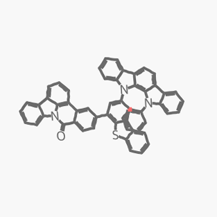 O=c1c2ccc(-c3cc(-n4c5ccccc5c5ccc6c7ccccc7n(-c7ccccc7)c6c54)cc4c3sc3ccccc34)cc2c2cccc3c4ccccc4n1c23